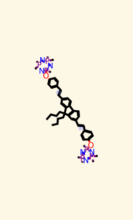 CCCCC1(CCCC)c2cc(/C=C/c3ccc(OP4(C)=NP(C)(C)=NP(C)(C)=N4)cc3)ccc2-c2ccc(/C=C/c3ccc(OP4(C)=NP(C)(C)=NP(C)(C)=N4)cc3)cc21